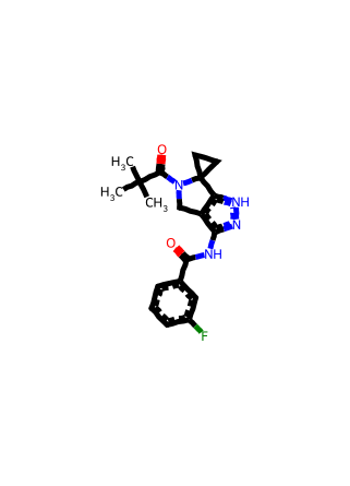 CC(C)(C)C(=O)N1Cc2c(NC(=O)c3cccc(F)c3)n[nH]c2C12CC2